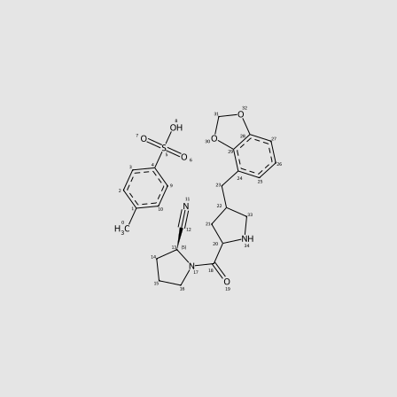 Cc1ccc(S(=O)(=O)O)cc1.N#C[C@@H]1CCCN1C(=O)C1CC(Cc2cccc3c2OCO3)CN1